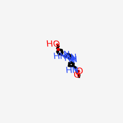 CCOC(=O)NCc1cccc(-n2nnc3cnc(Nc4ccc(CCO)cc4)nc32)c1